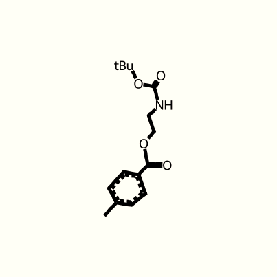 Cc1ccc(C(=O)OCCNC(=O)OC(C)(C)C)cc1